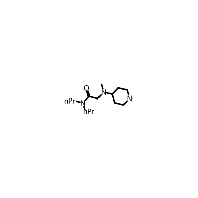 CCCN(CCC)C(=O)CN(C)C1CC[N]CC1